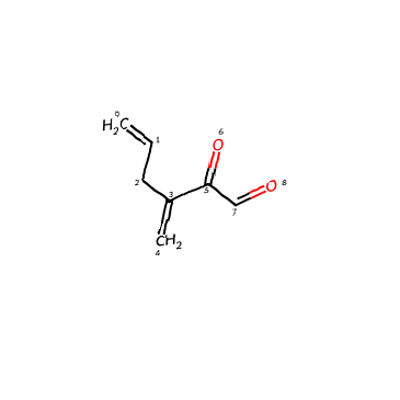 C=CCC(=C)C(=O)C=O